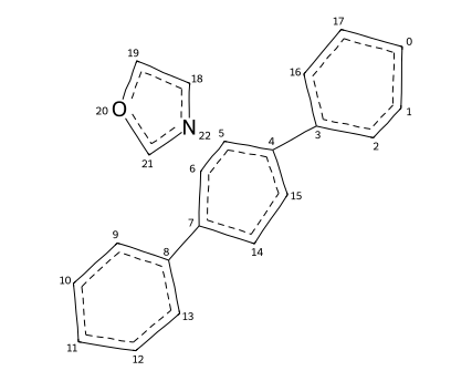 c1ccc(-c2ccc(-c3ccccc3)cc2)cc1.c1cocn1